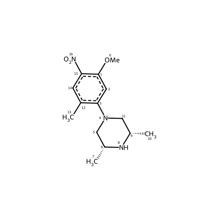 COc1cc(N2C[C@@H](C)N[C@@H](C)C2)c(C)cc1[N+](=O)[O-]